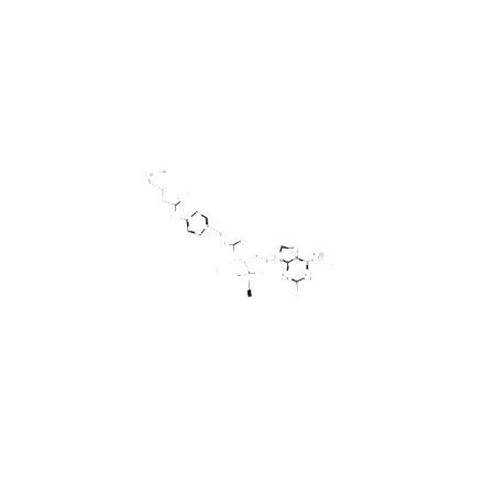 C#C[C@]1(CO)O[C@@H](n2cnc3c(N)nc(F)nc32)C[C@@H]1OC(=O)OCc1ccc(OC(=O)CCCCCCCCCCCCC)cc1